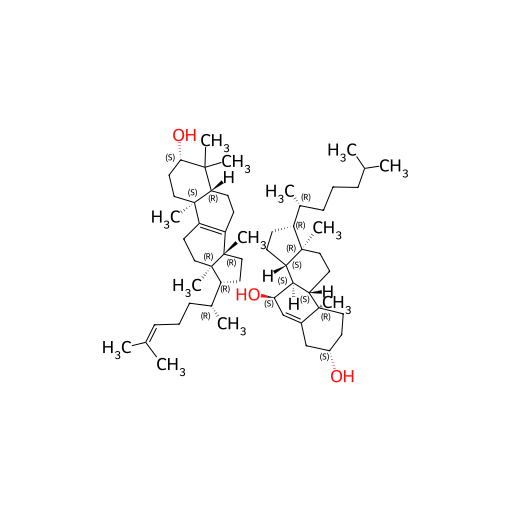 CC(C)=CCC[C@@H](C)[C@H]1CC[C@@]2(C)C3=C(CC[C@]12C)[C@@]1(C)CC[C@H](O)C(C)(C)[C@@H]1CC3.CC(C)CCC[C@@H](C)[C@H]1CC[C@H]2[C@@H]3[C@H](O)C=C4C[C@@H](O)CC[C@]4(C)[C@H]3CC[C@]12C